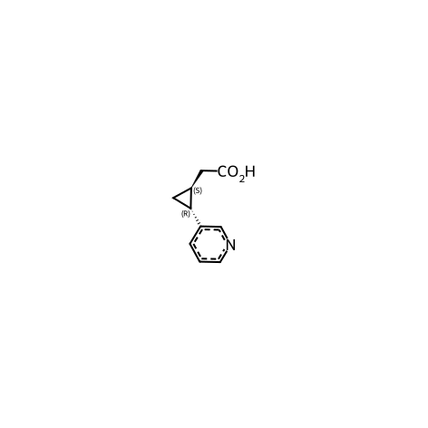 O=C(O)C[C@@H]1C[C@H]1c1cccnc1